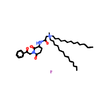 CCCCCCCCCCCCC[N+](C)(CCCCCCCCCCCCC)CC(=O)NC1CCC(=O)N(CC(=O)c2ccccc2)C1=O.[I-]